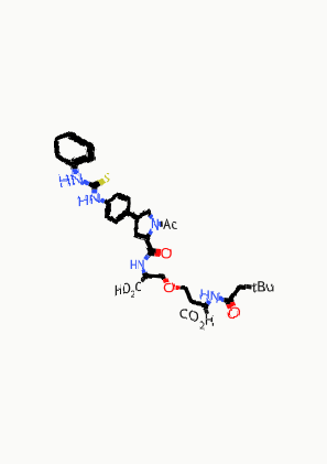 CC(=O)N1CC(c2ccc(NC(=S)Nc3ccccc3)cc2)CC1C(=O)NC(COCCC(NC(=O)CC(C)(C)C)C(=O)O)C(=O)O